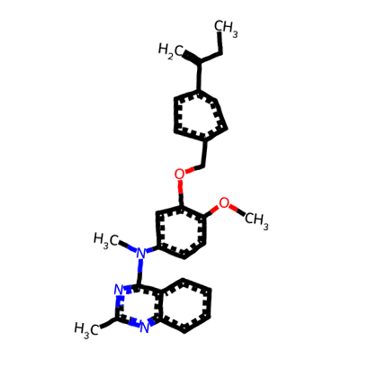 C=C(CC)c1ccc(COc2cc(N(C)c3nc(C)nc4ccccc34)ccc2OC)cc1